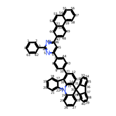 c1ccc(-c2nc(-c3ccc(-c4ccc5c6c4c4ccccc4n6-c4ccccc4C54c5ccccc5-c5ccccc54)cc3)cc(-c3ccc4c(ccc5ccccc54)c3)n2)cc1